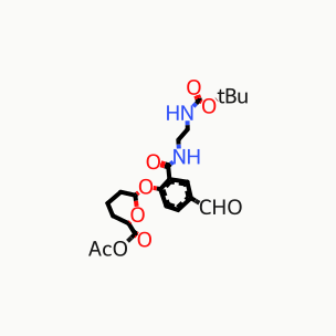 CC(=O)OC(=O)C1CCCC(Oc2ccc(C=O)cc2C(=O)NCCNC(=O)OC(C)(C)C)O1